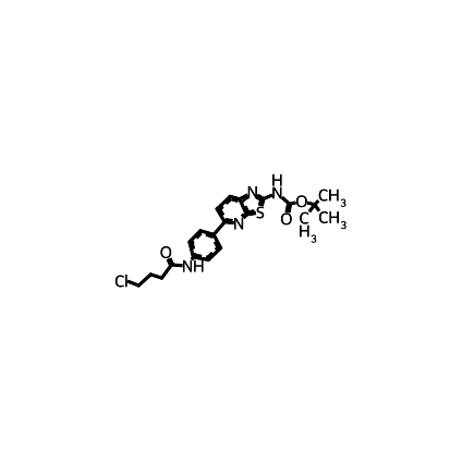 CC(C)(C)OC(=O)Nc1nc2ccc(-c3ccc(NC(=O)CCCCl)cc3)nc2s1